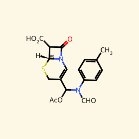 CC(=O)OC(C1=CN2C(=O)C(C(=O)O)[C@H]2SC1)N(C=O)c1ccc(C)cc1